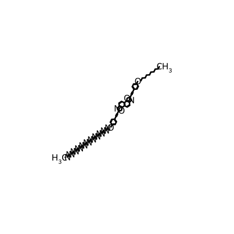 CCCCCCCCCCOc1ccc(C#Cc2nc3ccc4c(ccc5nc(C#Cc6ccc(ON=NN=NN=NN=NN=NN=NN=NN=NN=NN=NC)cc6)oc54)c3o2)cc1